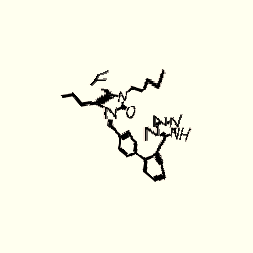 CCCCCn1c(F)c(CCC)n(Cc2ccc(-c3ccccc3-c3nnn[nH]3)cc2)c1=O